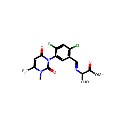 COC(=O)C(C=O)/N=C/c1cc(-n2c(=O)cc(C(F)(F)F)n(C)c2=O)c(F)cc1Cl